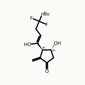 C=C1C(=O)C[C@@H](O)[C@@H]1C(O)=CCC(F)(F)CCCC